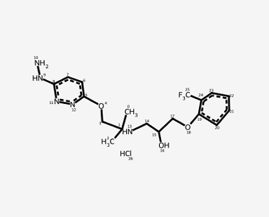 CC(C)(COc1ccc(NN)nn1)NCC(O)COc1ccccc1C(F)(F)F.Cl